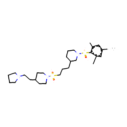 COc1cc(C)c(S(=O)(=O)N2CCCC(CCCS(=O)(=O)N3CCC(CCN4CCCC4)CC3)C2)c(C)c1